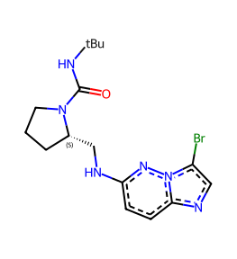 CC(C)(C)NC(=O)N1CCC[C@H]1CNc1ccc2ncc(Br)n2n1